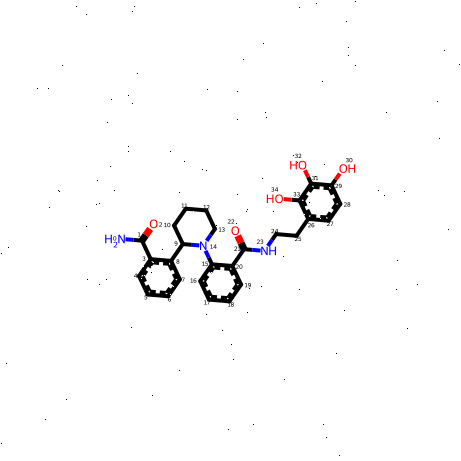 NC(=O)c1ccccc1C1CCCCN1c1ccccc1C(=O)NCCc1ccc(O)c(O)c1O